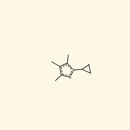 [CH2]c1c(C)nn(C2CC2)c1C